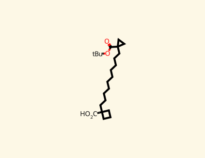 CC(C)(C)OC(=O)C1(CCCCCCCCCCC2(C(=O)O)CCC2)CC1